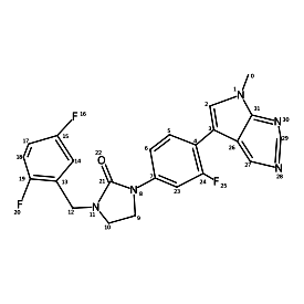 Cn1cc(-c2ccc(N3CCN(Cc4cc(F)ccc4F)C3=O)cc2F)c2cncnc21